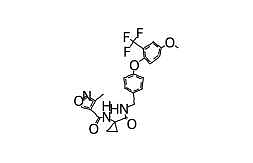 COc1ccc(Oc2ccc(CNC(=O)C3(NC(=O)c4conc4C)CC3)cc2)c(C(F)(F)F)c1